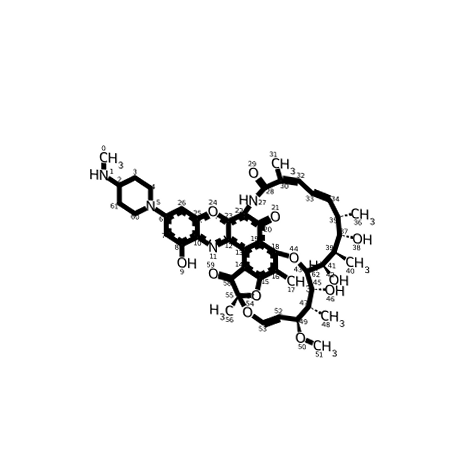 CNC1CCN(c2cc(O)c3nc4c5c6c7c(C)c8c5c(=O)c(c-4oc3c2)NC(=O)/C(C)=C\C=C\[C@H](C)[C@H](O)[C@@H](C)[C@@H](O)[C@@H](O8)[C@H](O)[C@H](C)[C@@H](OC)/C=C/O[C@@](C)(O7)C6=O)CC1